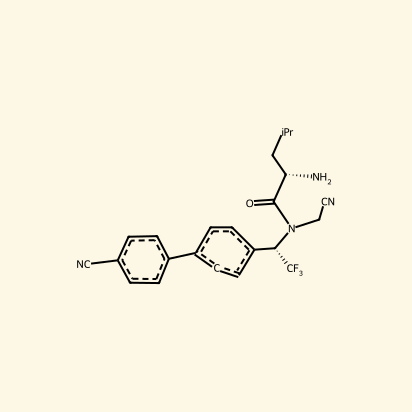 CC(C)C[C@H](N)C(=O)N(CC#N)[C@@H](c1ccc(-c2ccc(C#N)cc2)cc1)C(F)(F)F